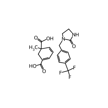 CC1(C(=O)O)C=CC=C(C(=O)O)C1.O=C1NCCN1Cc1ccc(C(F)(F)F)cc1